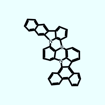 c1cc2c3c(c1)-n1c4c(cccc4c4c5ccccc5c5ccccc5c41)B3c1cccc3c4cc5ccccc5cc4n-2c13